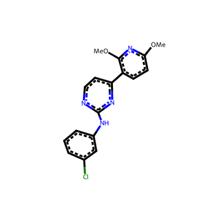 COc1ccc(-c2ccnc(Nc3cccc(Cl)c3)n2)c(OC)n1